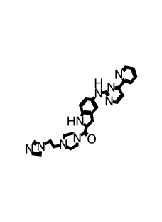 O=C(C1Cc2cc(Nc3nccc(-c4ccccn4)n3)ccc2N1)N1CCN(CCn2ccnc2)CC1